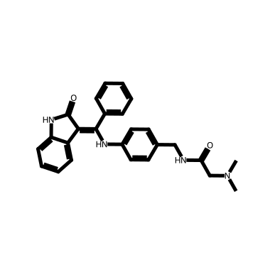 CN(C)CC(=O)NCc1ccc(NC(=C2C(=O)Nc3ccccc32)c2ccccc2)cc1